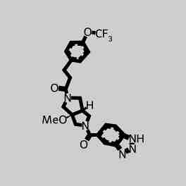 CO[C@]12CN(C(=O)CCc3ccc(OC(F)(F)F)cc3)C[C@@H]1CN(C(=O)c1ccc3[nH]nnc3c1)C2